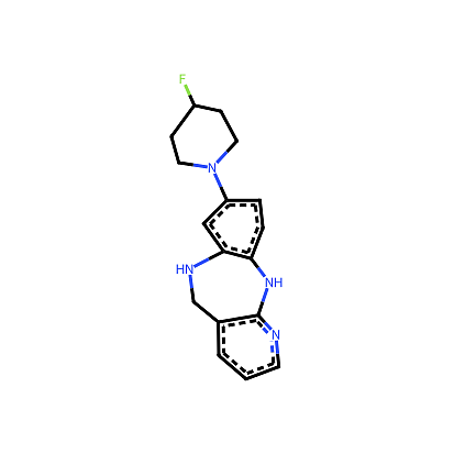 FC1CCN(c2ccc3c(c2)NCc2cccnc2N3)CC1